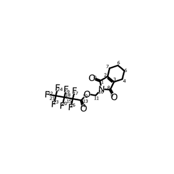 O=C1C2=C(CCCC2)C(=O)N1COC(=O)C(F)(F)C(F)(F)C(F)(F)F